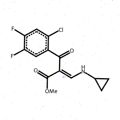 COC(=O)/C(=C/NC1CC1)C(=O)c1cc(F)c(F)cc1Cl